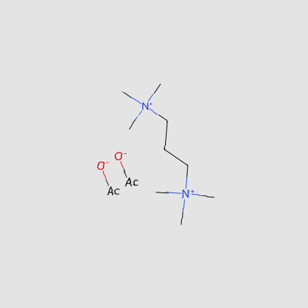 CC(=O)[O-].CC(=O)[O-].C[N+](C)(C)CCC[N+](C)(C)C